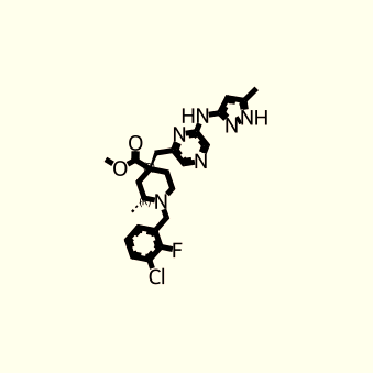 COC(=O)[C@]1(Cc2cncc(Nc3cc(C)[nH]n3)n2)CCN(Cc2cccc(Cl)c2F)[C@H](C)C1